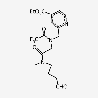 CCOC(=O)c1ccnc(CN(CC(=O)N(C)CCCC=O)C(=O)C(F)(F)F)c1